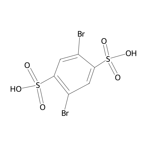 O=S(=O)(O)c1cc(Br)c(S(=O)(=O)O)cc1Br